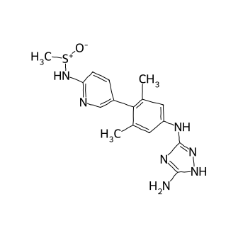 Cc1cc(Nc2n[nH]c(N)n2)cc(C)c1-c1ccc(N[S+](C)[O-])nc1